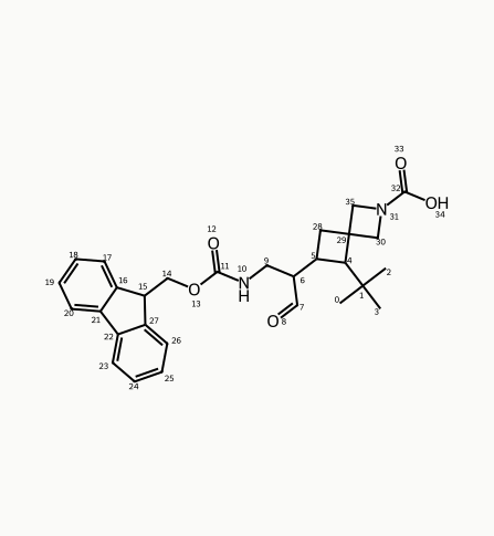 CC(C)(C)C1C(C(C=O)CNC(=O)OCC2c3ccccc3-c3ccccc32)CC12CN(C(=O)O)C2